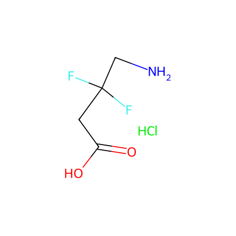 Cl.NCC(F)(F)CC(=O)O